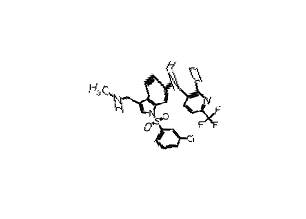 CNCc1cn(S(=O)(=O)c2cccc(Cl)c2)c2cc(Nc3ccc(C(F)(F)F)nc3Cl)ccc12